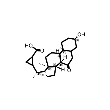 C[C@H](C1CC1C(=O)O)[C@H]1CC[C@H]2[C@@H]3C(=O)CC4C[C@H](O)CC[C@]4(C)[C@H]3CC[C@]12C